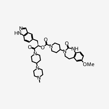 COc1ccc2c(c1)CCN(C1CCN(C(=O)O[C@H](Cc3ccc4[nH]ncc4c3)C(=O)N3CCC(N4CCN(C)CC4)CC3)CC1)C(=O)N2